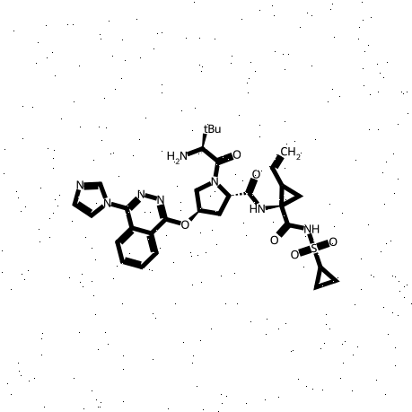 C=CC1C[C@]1(NC(=O)[C@@H]1C[C@@H](Oc2nnc(-n3ccnc3)c3ccccc23)CN1C(=O)[C@@H](N)C(C)(C)C)C(=O)NS(=O)(=O)C1CC1